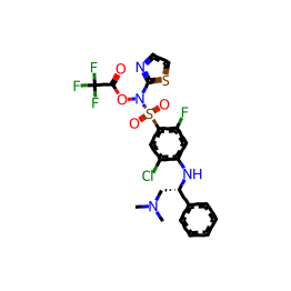 CN(C)C[C@H](Nc1cc(F)c(S(=O)(=O)N(OC(=O)C(F)(F)F)c2nccs2)cc1Cl)c1ccccc1